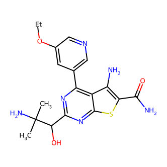 CCOc1cncc(-c2nc(C(O)C(C)(C)N)nc3sc(C(N)=O)c(N)c23)c1